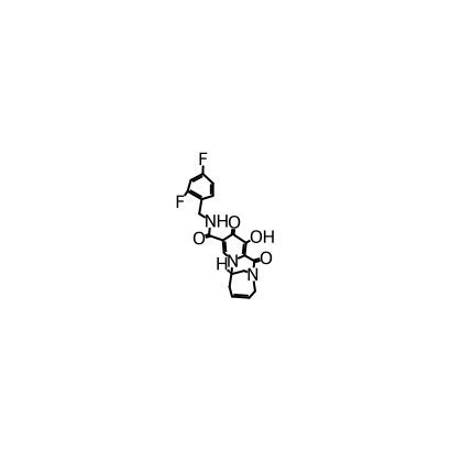 O=C(NCc1ccc(F)cc1F)c1cn2c(c(O)c1=O)C(=O)N1CC=CC[C@H]2C1